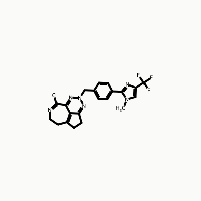 Cn1cc(C(F)(F)F)nc1-c1ccc(CN2N=C3CCC4=C3C(=N2)C(Cl)=NCC4)cc1